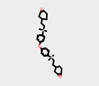 C[Si](C)(CCC1CCC2OC2C1)c1ccc(Oc2ccc([Si](C)(C)CCC3CCC4OC4C3)cc2)cc1